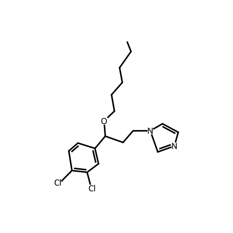 CCCCCCOC(CCn1ccnc1)c1ccc(Cl)c(Cl)c1